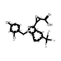 O=C(O)C1OC1c1nn(Cc2ccc(Cl)cc2Cl)c2ccc(C(F)(F)F)cc12